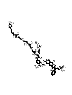 CSc1ncc(C#CCCCC(=O)NCCOCCNC(=O)COCC(=O)N[C@@H](CCCNC(N)=O)C(=O)Nc2ccc(C(C)OC(=O)O[C@@H]3C(=O)OCc4c3cc3n(c4=O)Cc4c-3nc3ccccc3c4CCN(C(C)C)S(C)(=O)=O)cc2)cn1